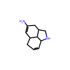 NC1=CC2CC=CC3NCC(C1)C23